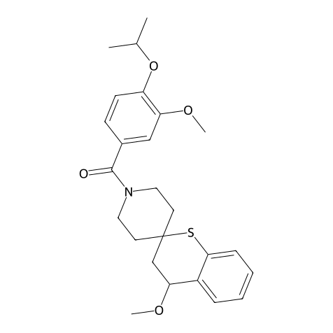 COc1cc(C(=O)N2CCC3(CC2)CC(OC)c2ccccc2S3)ccc1OC(C)C